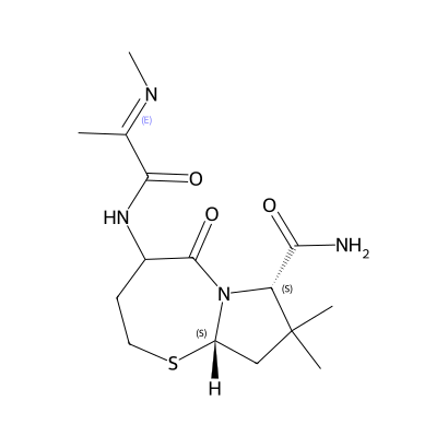 C/N=C(\C)C(=O)NC1CCS[C@H]2CC(C)(C)[C@@H](C(N)=O)N2C1=O